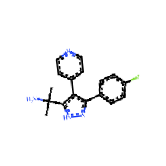 CC(C)(N)c1[nH]nc(-c2ccc(F)cc2)c1-c1ccncc1